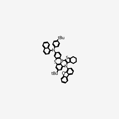 CC(C)(C)c1ccc(N(c2ccc3c(c2)Sc2cc(C(C)(C)C)cc4c2B3c2sc3c(c2N4c2cccc4c2oc2ccccc24)CCCC3)c2cccc3ccccc23)cc1